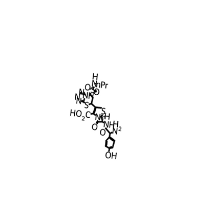 CCCNS(=O)(=O)CCC(Sc1nnn[nH]1)C1=C(C(=O)O)N2C(=O)C(NC(=O)C(N)c3ccc(O)cc3)[C@@H]2SC1